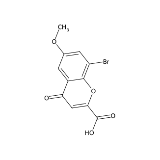 COc1cc(Br)c2oc(C(=O)O)cc(=O)c2c1